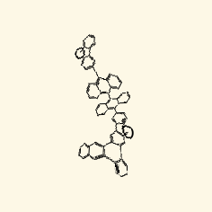 c1ccc2cc3c(cc2c1)c1ccccc1c1cc2oc4ccc(-c5c6ccccc6c(-c6c7ccccc7c(-c7ccc8oc9ccccc9c8c7)c7ccccc67)c6ccccc56)cc4c2cc31